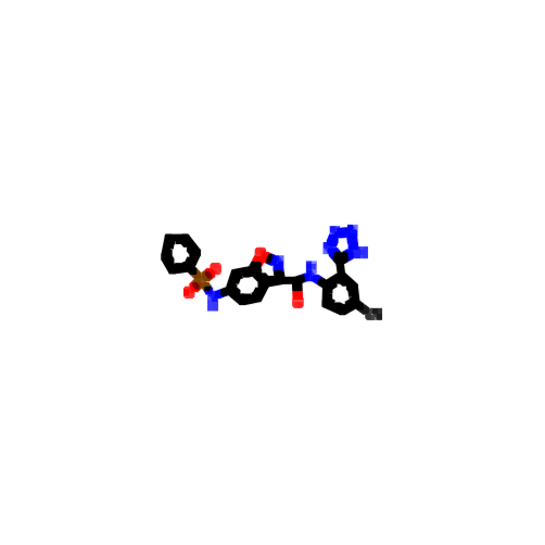 N#Cc1ccc(NC(=O)c2noc3cc(NS(=O)(=O)c4ccccc4)ccc23)c(-c2nnn[nH]2)c1